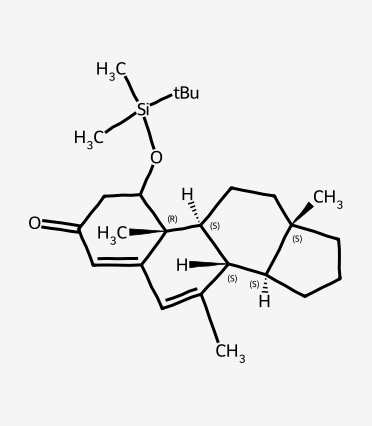 CC1=CC2=CC(=O)CC(O[Si](C)(C)C(C)(C)C)[C@]2(C)[C@H]2CC[C@]3(C)CCC[C@H]3[C@H]12